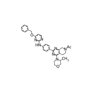 CC(=O)N1CCc2c(nc(-c3ccc(Nc4nccc(OCc5ccccc5)n4)cc3)nc2N2CCOCC2C)C1